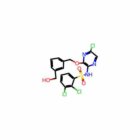 O=S(=O)(Nc1ncc(Cl)nc1OCc1cccc(CO)c1)c1cccc(Cl)c1Cl